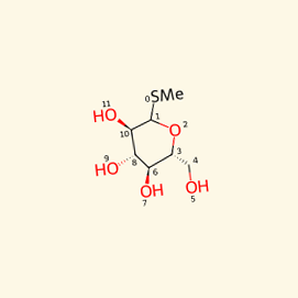 [CH2]SC1O[C@H](CO)[C@@H](O)[C@H](O)[C@H]1O